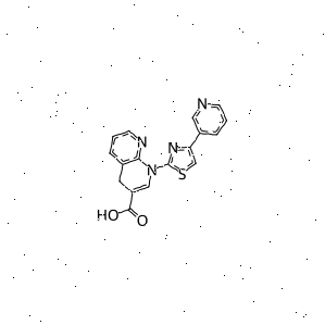 O=C(O)C1=CN(c2nc(-c3cccnc3)cs2)c2ncccc2C1